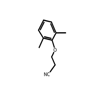 Cc1cccc(C)c1OCCC#N